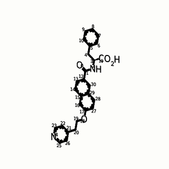 O=C(N[C@@H](Cc1ccccc1)C(=O)O)c1ccc2cc(OCCc3ccncc3)ccc2c1